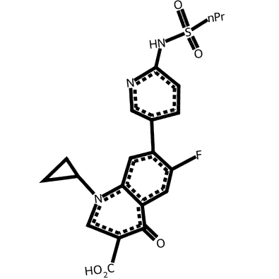 CCCS(=O)(=O)Nc1ccc(-c2cc3c(cc2F)c(=O)c(C(=O)O)cn3C2CC2)cn1